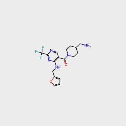 NCC1CCN(C(=O)c2cnc(C(F)(F)F)nc2NCc2ccco2)CC1